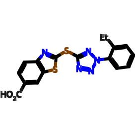 CCc1ccccc1-n1nnc(Sc2nc3ccc(C(=O)O)cc3s2)n1